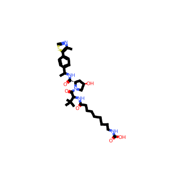 Cc1ncsc1-c1ccc(C(C)NC(=O)[C@@H]2C[C@@H](O)CN2C(=O)C(NC(=O)CCCCCCCCNC(=O)O)C(C)(C)C)cc1